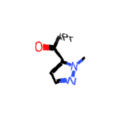 CC(C)C(=O)c1ccnn1C